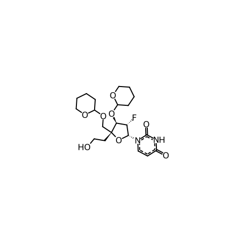 O=c1ccn([C@@H]2O[C@](CCO)(COC3CCCCO3)[C@@H](OC3CCCCO3)[C@@H]2F)c(=O)[nH]1